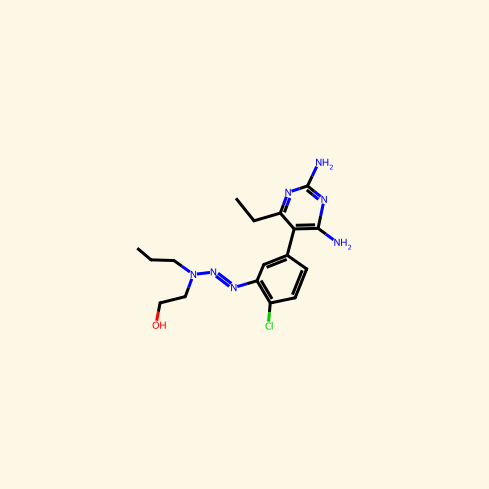 CCCN(CCO)N=Nc1cc(-c2c(N)nc(N)nc2CC)ccc1Cl